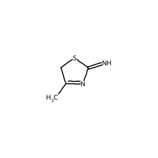 CC1=NC(=N)SC1